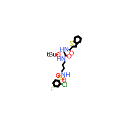 CC(C)(C)OC[C@H](NC(=O)c1cc2ccccc2s1)C(=O)NCCCCNS(=O)(=O)c1ccc(F)cc1Cl